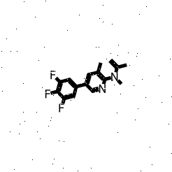 C=C(C)N(C)c1ncc(-c2cc(F)c(F)c(F)c2)cc1C